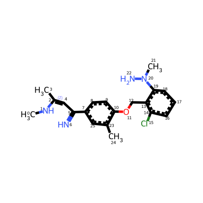 CN/C(C)=C\C(=N)c1ccc(OCc2c(Cl)cccc2N(C)N)c(C)c1